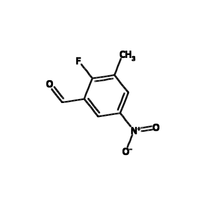 Cc1cc([N+](=O)[O-])cc(C=O)c1F